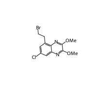 COc1nc2cc(Cl)cc(CCBr)c2nc1OC